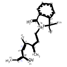 C=C(CCNC(=C)c1ccccc1C(F)(F)F)/C(Cl)=C\C(S)=C/C